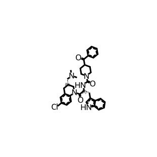 CN(C)C[C@H]1Cc2cc(Cl)ccc2N(C(=O)[C@@H](Cc2c[nH]c3ccccc23)NC(=O)N2CCC(C(=O)c3ccccc3)CC2)C1